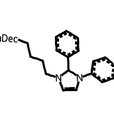 CCCCCCCCCCCCCCN1C=CN(c2ccccc2)C1c1ccccc1